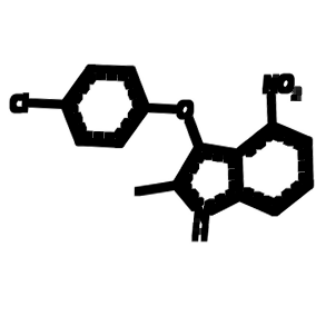 Cc1[nH]c2cccc([N+](=O)[O-])c2c1Oc1ccc(Cl)cc1